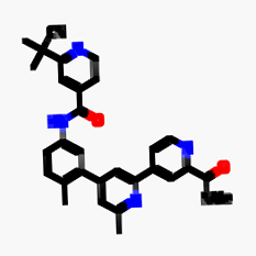 CNC(=O)c1cc(-c2cc(-c3cc(NC(=O)c4ccnc(C(C)(C)C#N)c4)ccc3C)cc(C)n2)ccn1